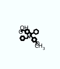 COc1ccc(-c2c(C3CCCCC3)c3ccc(C(=O)O)cc3n2Cc2ccccc2)cc1